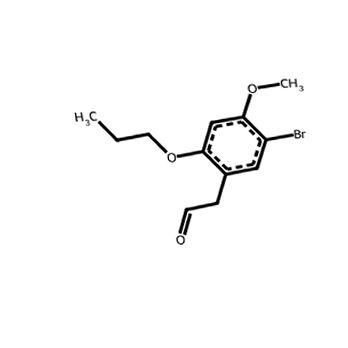 CCCOc1cc(OC)c(Br)cc1CC=O